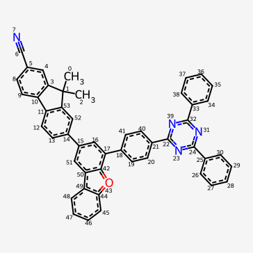 CC1(C)c2cc(C#N)ccc2-c2ccc(-c3cc(-c4ccc(-c5nc(-c6ccccc6)nc(-c6ccccc6)n5)cc4)c4oc5ccccc5c4c3)cc21